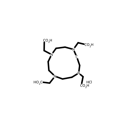 Cl.O=C(O)CN1CCN(CC(=O)O)CCN(CC(=O)O)CCN(CC(=O)O)CC1